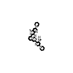 CNc1cc(N2CCCCC2)cnc1C1=CC2=CC=CC3=CC(c4ncc(N5CCCCC5)cc4NC)=NC(=N1)N23